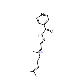 CC(C)=CCC/C(C)=C/C=NNC(=O)c1ccncc1